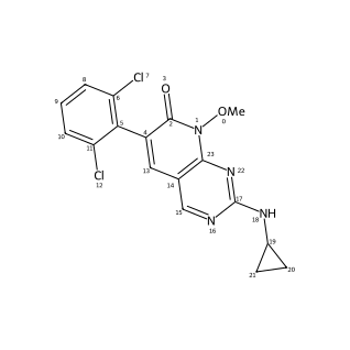 COn1c(=O)c(-c2c(Cl)cccc2Cl)cc2cnc(NC3CC3)nc21